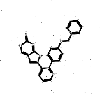 O=c1nc2[nH]c(-c3cccnc3-c3ccc(OCc4ccccc4)cc3)cc2c[nH]1